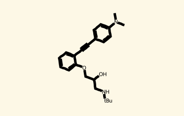 CN(C)c1ccc(C#Cc2ccccc2OCC(O)CNC(C)(C)C)cc1